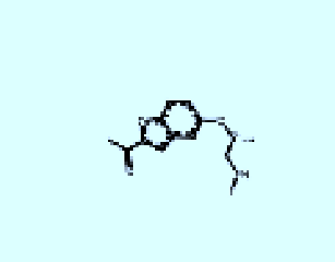 CC(=O)c1cc2cc(O[C@H](C)CNI)ccc2o1